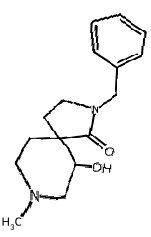 CN1CCC2(CCN(Cc3ccccc3)C2=O)C(O)C1